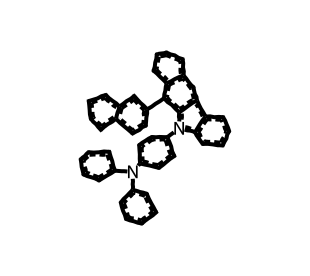 c1ccc(N(c2ccccc2)c2ccc(-n3c4ccccc4c4cc5ccccc5c(-c5ccc6ccccc6c5)c43)cc2)cc1